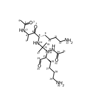 CC(=O)NC(C)C(=O)[C@H](CCCCN)NC(C)(C)N(NC(C)=O)[C@H](C=O)CCCCN